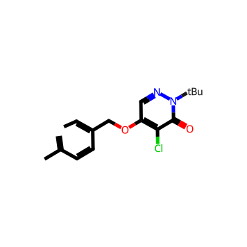 C=C(C)/C=C\C(=C/C)COc1cnn(C(C)(C)C)c(=O)c1Cl